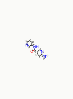 CN(C)c1ccc(C(=O)Nc2cccnc2)cn1